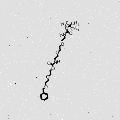 CC(C)(C)OC(=O)NCCOCCOCCNC(=O)OCCOCCOCc1ccccc1